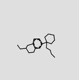 CCCCC1(c2ccc3c(c2)CCC(CC)C3)CCCCC1